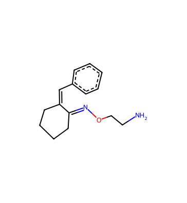 NCCON=C1CCCCC1=Cc1ccccc1